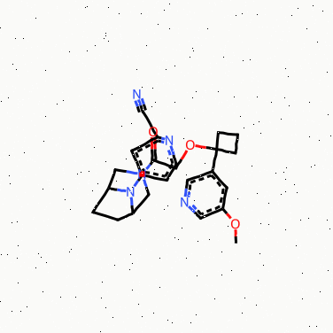 COc1cncc(C2(OCC(=O)N3CC4CCC(C3)N4c3ccnc(C#N)c3)CCC2)c1